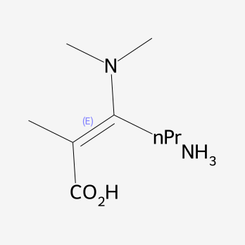 CCC/C(=C(/C)C(=O)O)N(C)C.N